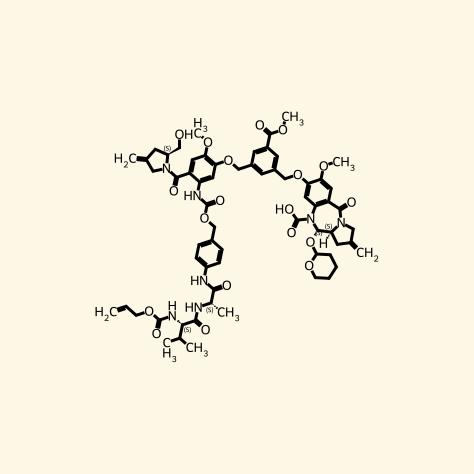 C=CCOC(=O)N[C@H](C(=O)N[C@@H](C)C(=O)Nc1ccc(COC(=O)Nc2cc(OCc3cc(COc4cc5c(cc4OC)C(=O)N4CC(=C)C[C@H]4[C@H](OC4CCCCO4)N5C(=O)O)cc(C(=O)OC)c3)c(OC)cc2C(=O)N2CC(=C)C[C@H]2CO)cc1)C(C)C